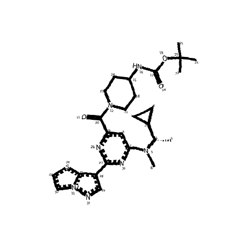 C[C@@H](C1CC1)N(C)c1cc(C(=O)N2CCC(NC(=O)OC(C)(C)C)CC2)nc(-c2cnn3ccsc23)n1